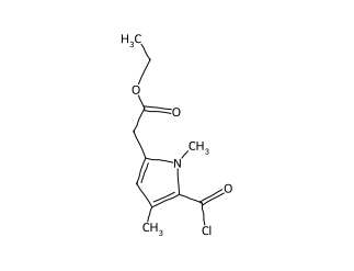 CCOC(=O)Cc1cc(C)c(C(=O)Cl)n1C